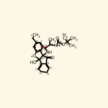 CCc1ccc2c(c1)OC1(O)C3=CCCC=C3C(=O)C21NC(=O)C(C)NC(=O)OC(C)(C)C